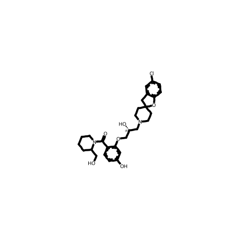 O=C(c1ccc(O)cc1OC[C@H](O)CN1CCC2(CC1)Cc1cc(Cl)ccc1O2)N1CCCCC1CO